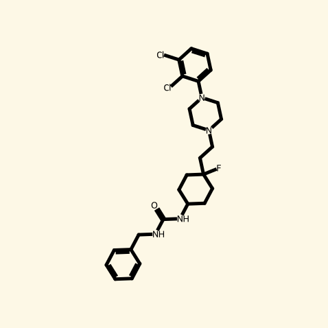 O=C(NCc1ccccc1)NC1CCC(F)(CCN2CCN(c3cccc(Cl)c3Cl)CC2)CC1